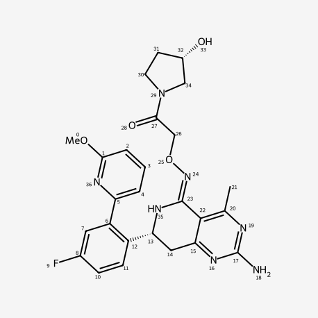 COc1cccc(-c2cc(F)ccc2[C@H]2Cc3nc(N)nc(C)c3/C(=N/OCC(=O)N3CC[C@H](O)C3)N2)n1